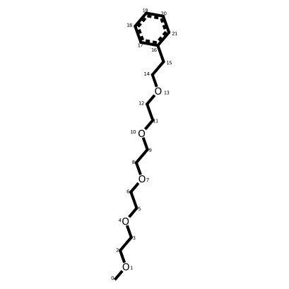 COCCOCCOCCOCCOCCc1ccccc1